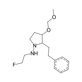 COCOC1CCN(NCCF)C1CCc1ccccc1